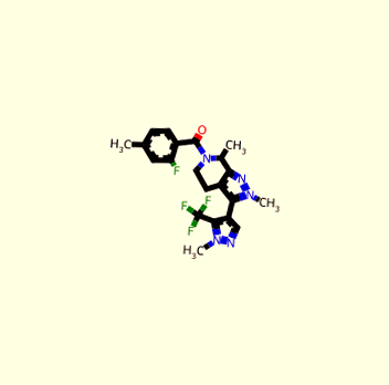 Cc1ccc(C(=O)N2CCc3c(nn(C)c3-c3cnn(C)c3C(F)(F)F)C2C)c(F)c1